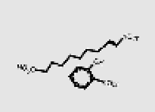 CCCCCCCCC=CCCCCCCCC(=O)O.CCCCCCCCc1ccccc1O